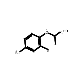 CCC(C)c1ccc(OC(C)C=O)c(C)c1